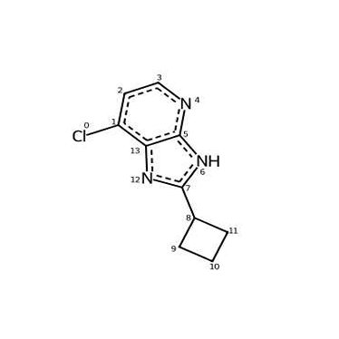 Clc1ccnc2[nH]c(C3CCC3)nc12